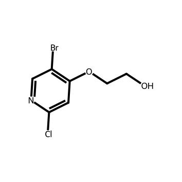 OCCOc1cc(Cl)ncc1Br